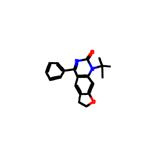 CC(C)(C)n1c(=O)nc(-c2ccccc2)c2cc3c(cc21)OCC3